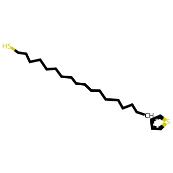 CCCCCCCCCCCCCCCCCCS.c1ccsc1